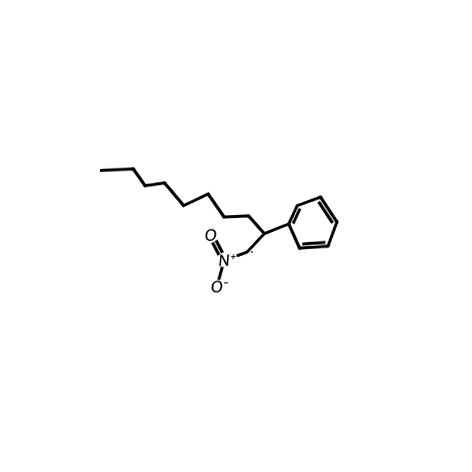 CCCCCCCCC([CH][N+](=O)[O-])c1ccccc1